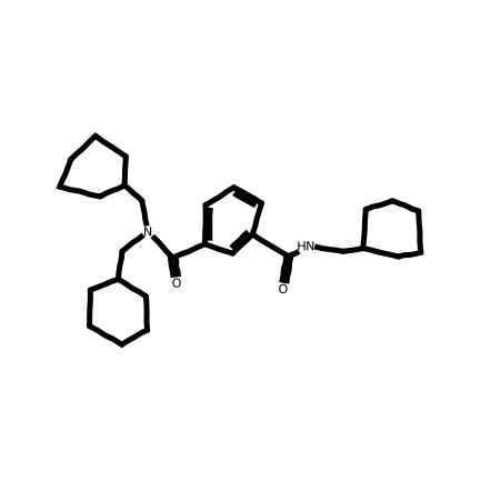 O=C(NCC1CCCCC1)c1cccc(C(=O)N(CC2CCCCC2)CC2CCCCC2)c1